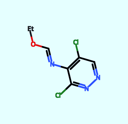 CCO/C=N/c1c(Cl)cnnc1Cl